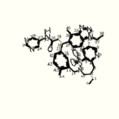 CC[C@H]1Cc2ncccc2S(=O)(=O)N(Cc2cc([C@H](CC(=O)Nc3cncnc3)c3ccc4c(nnn4CC)c3C)ccc2C)C1